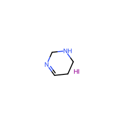 C1=NCNCC1.I